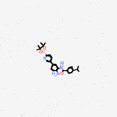 CC(C)c1ccc(C(=O)Nc2cc(-c3ccc(B4OC(C)(C)C(C)(C)O4)nc3)ccc2N)cc1